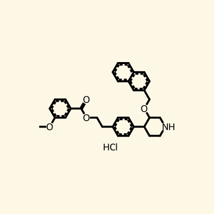 COc1cccc(C(=O)OCCc2ccc(C3CCNCC3OCc3ccc4ccccc4c3)cc2)c1.Cl